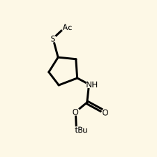 CC(=O)SC1CCC(NC(=O)OC(C)(C)C)C1